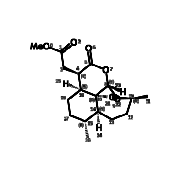 COC(=O)C[C@H]1C(=O)O[C@@H]2O[C@@]3(C)CC[C@H]4[C@H](C)CC[C@@H]1[C@@]24OO3